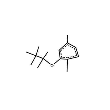 Cc1ccc(C)c(OC(C)(C)C(C)(C)C)c1